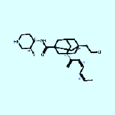 C=C(/C=C\C=C/C)[C@]12CC3CC(C(=O)N[C@H]4CCNC[C@@H]4F)(C[C@](CCCl)(C3)C1)C2